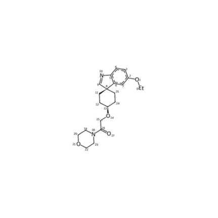 CCOc1ccc2c(c1)[C@]1(C=N2)CC[C@H](O[CH]C(=O)N2CCOCC2)CC1